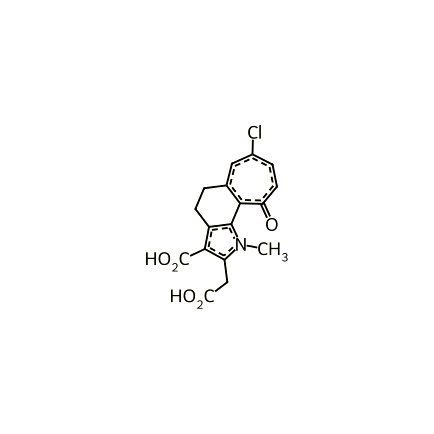 Cn1c(CC(=O)O)c(C(=O)O)c2c1-c1c(cc(Cl)ccc1=O)CC2